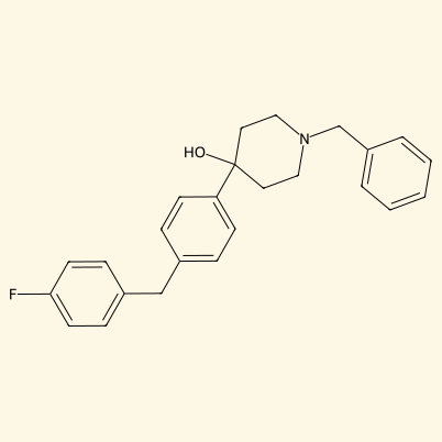 OC1(c2ccc(Cc3ccc(F)cc3)cc2)CCN(Cc2ccccc2)CC1